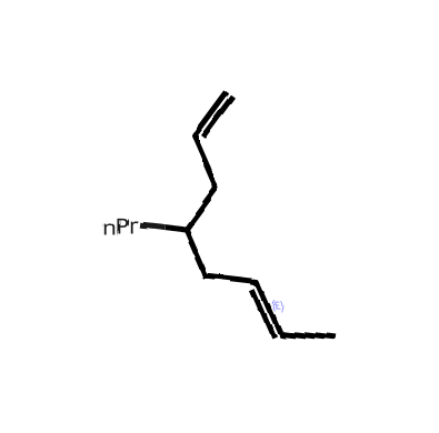 C=CCC(C/C=C/C)CCC